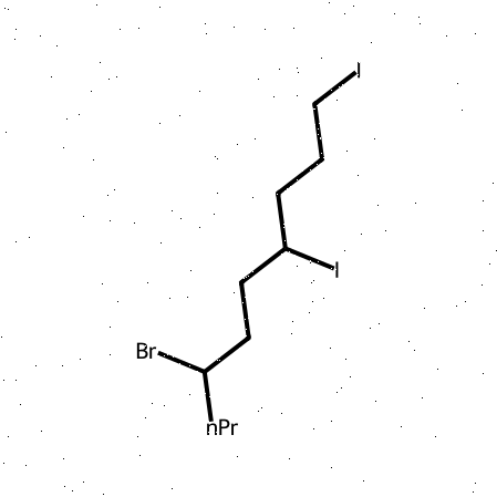 CCCC(Br)CCC(I)CCCI